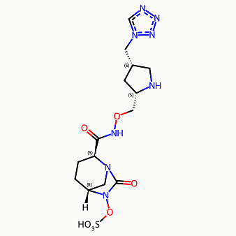 O=C(NOC[C@@H]1C[C@H](Cn2cnnn2)CN1)[C@@H]1CC[C@@H]2CN1C(=O)N2OS(=O)(=O)O